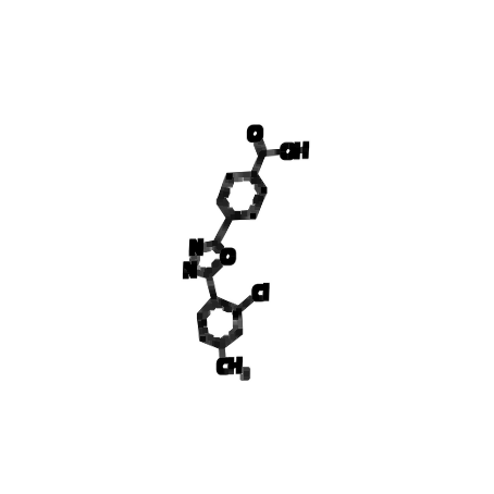 Cc1ccc(-c2nnc(-c3ccc(C(=O)O)cc3)o2)c(Cl)c1